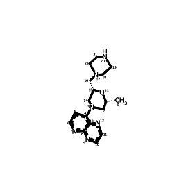 C[C@@H]1CN(c2ccnc3nccnc23)C[C@H](CN2CCNCC2)O1